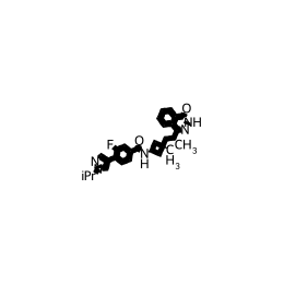 CC(C)n1cc(-c2ccc(C(=O)N[C@H]3C[C@](C)(C[C@H](C)c4n[nH]c(=O)c5ccccc45)C3)cc2F)cn1